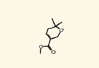 COC(=O)C1=CCC(C)(C)OC1